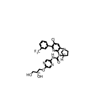 O=C(Nc1cnc(OC[C@H](O)CO)cn1)N1c2nc(-c3cccc(C(F)(F)F)c3)c(Cl)cc2N2CC[C@H]1C2